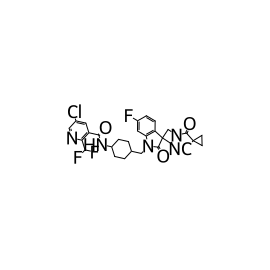 N#CC1(C(=O)N2CC3(C2)C(=O)N(CC2CCC(NC(=O)c4cc(Cl)cnc4C(F)F)CC2)c2cc(F)ccc23)CC1